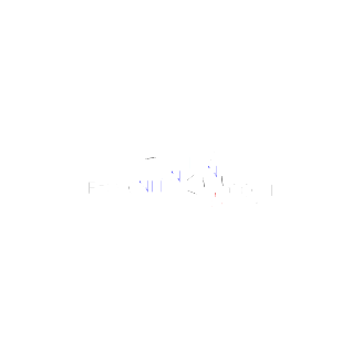 CCOC(=O)NC1CC=CC2CN(c3ccc4c(=O)c(C(=O)O)cn(C5CC5)c4c3F)CC21